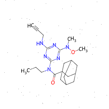 C#CCNc1nc(N(C)OC)nc(N(CCC)C(=O)C23CC4CC(CC(C4)C2)C3)n1